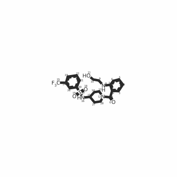 O=C(c1ccccc1NCCO)N1CCC(NS(=O)(=O)c2cccc(C(F)(F)F)c2)CC1